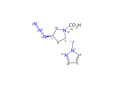 [N-]=[N+]=N[C@@H]1C[C@@H](Cn2cccn2)N(C(=O)O)C1